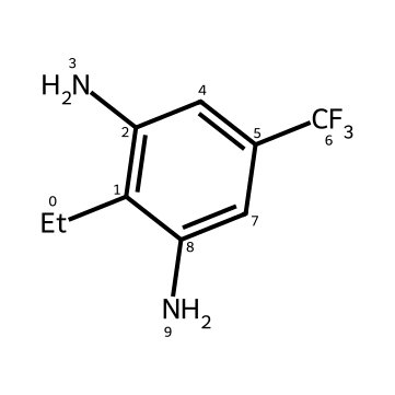 CCc1c(N)cc(C(F)(F)F)cc1N